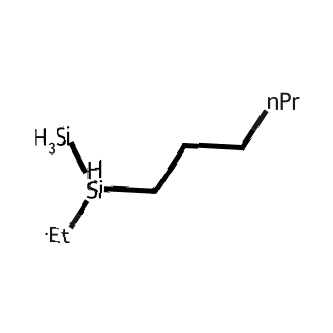 C[CH][SiH]([SiH3])CCCCCC